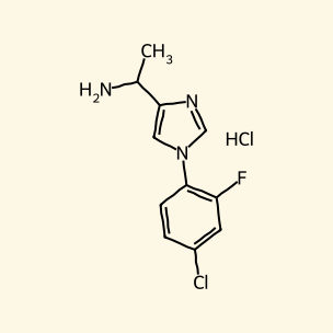 CC(N)c1cn(-c2ccc(Cl)cc2F)cn1.Cl